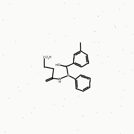 C=C(CCC(=O)O)NN(c1ccccc1)C(O)c1cccc(C)c1